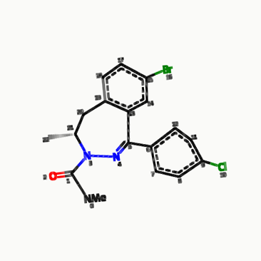 CNC(=O)N1N=C(c2ccc(Cl)cc2)c2cc(Br)ccc2C[C@H]1C